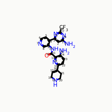 Nc1cc(-c2ccncc2NC(=O)c2nc(C3=CCNCC3)ccc2N)nc(C(F)(F)F)n1